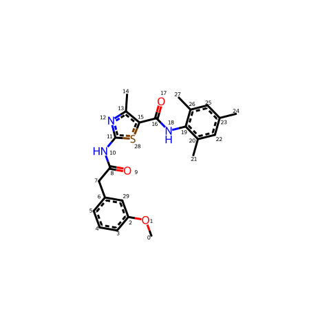 COc1cccc(CC(=O)Nc2nc(C)c(C(=O)Nc3c(C)cc(C)cc3C)s2)c1